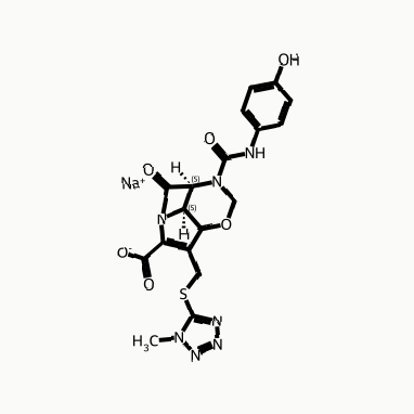 Cn1nnnc1SCC1=C(C(=O)[O-])N2C(=O)[C@@H]3[C@H]2C1OCN3C(=O)Nc1ccc(O)cc1.[Na+]